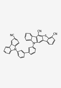 N#Cc1ccc2c(c1)c1ccccc1n2-c1cccc(-c2cccc(-n3c4ccccc4c4c(C#N)c5sc6c(C#N)cccc6c5cc43)c2)c1